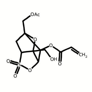 C=CC(=O)OC1C2OS(=O)(=O)C3CC1(COC(C)=O)OC23CO